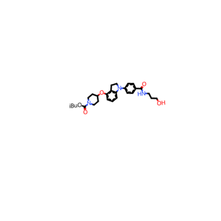 CC(C)COC(=O)N1CCC(Oc2cccc3c2CCN3c2ccc(C(=O)NCCCO)cc2)CC1